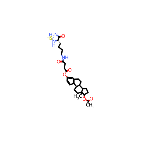 CC(=O)OC1CCC2C3CCc4cc(OC(=O)CCC(=O)NCCCC[C@H](NS)C(N)=O)ccc4C3CCC12C